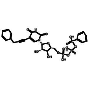 O=c1[nH]c(=O)n([C@@H]2O[C@H](COP(=O)(O)OP(=O)(O)OP(=O)(O)c3ccccc3)C(O)[C@@H]2O)cc1C#CCc1ccccc1